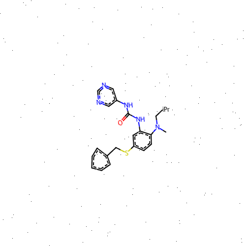 CC(C)CN(C)c1ccc(SCc2ccccc2)cc1NC(=O)Nc1cncnc1